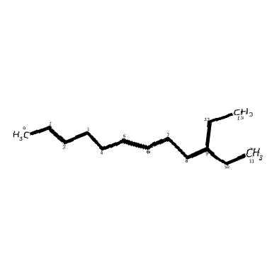 CCCCCCCCCC(CC)CC